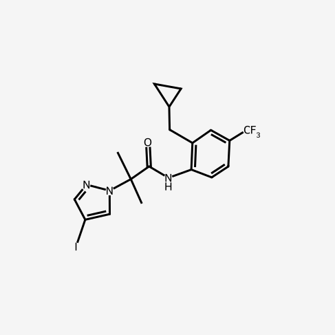 CC(C)(C(=O)Nc1ccc(C(F)(F)F)cc1CC1CC1)n1cc(I)cn1